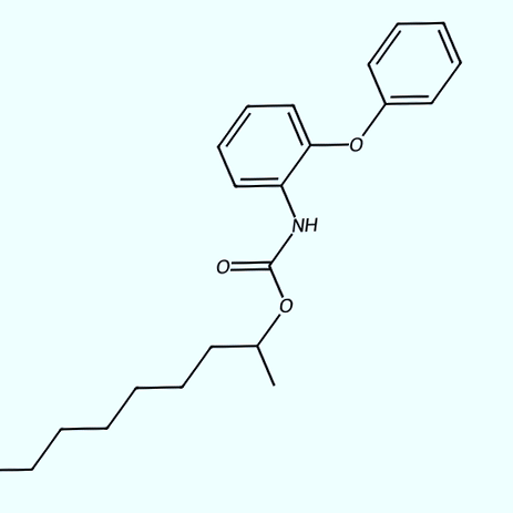 CCCCCCCC(C)OC(=O)Nc1ccccc1Oc1ccccc1